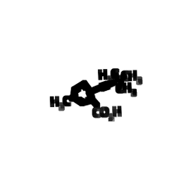 Cc1ccc(C#C[Si](C)(C)C)c(CC(=O)O)c1